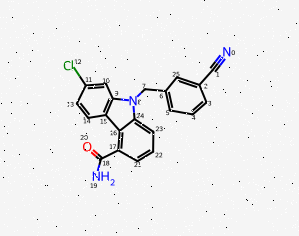 N#Cc1cccc(Cn2c3cc(Cl)c[c]c3c3c(C(N)=O)cccc32)c1